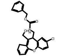 O=C(NCC1C(CO)=C2CC=CC=C2Oc2ccc(Cl)cc21)OCc1ccccc1